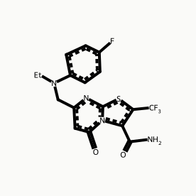 CCN(Cc1cc(=O)n2c(C(N)=O)c(C(F)(F)F)sc2n1)c1ccc(F)cc1